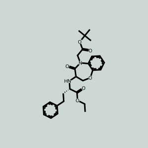 CCOC(=O)[C@H](CCc1ccccc1)NC1COc2ccccc2N(CC(=O)OC(C)(C)C)C1=O